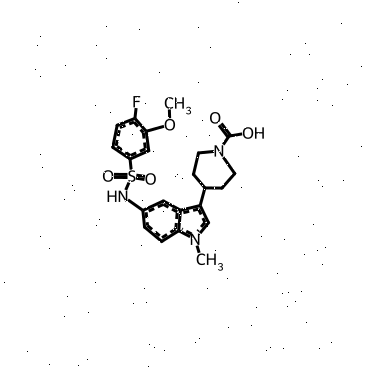 COc1cc(S(=O)(=O)Nc2ccc3c(c2)c(C2CCN(C(=O)O)CC2)cn3C)ccc1F